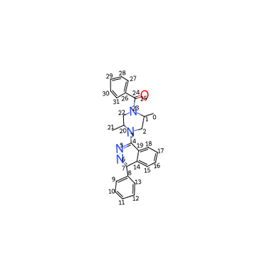 CC1CN(c2nnc(-c3ccccc3)c3ccccc23)C(C)CN1C(=O)c1ccccc1